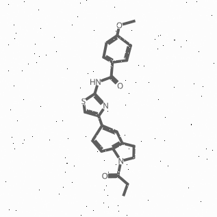 CCC(=O)N1CCc2cc(-c3csc(NC(=O)c4ccc(OC)cc4)n3)ccc21